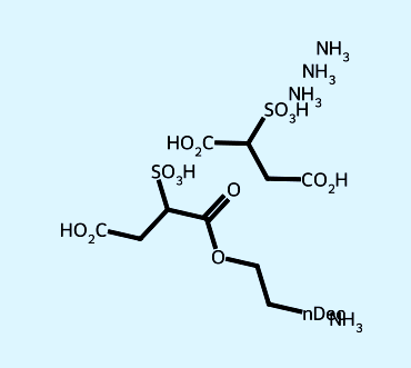 CCCCCCCCCCCCOC(=O)C(CC(=O)O)S(=O)(=O)O.N.N.N.N.O=C(O)CC(C(=O)O)S(=O)(=O)O